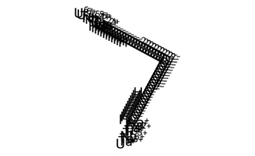 [Ca+2].[Ca+2].[Ca+2].[Na+].[Na+].[Na+].[Nb+5].[Nb+5].[Nb+5].[O-2].[O-2].[O-2].[O-2].[O-2].[O-2].[O-2].[O-2].[O-2].[O-2].[O-2].[O-2].[O-2].[O-2].[O-2].[O-2].[O-2].[O-2].[O-2].[O-2].[O-2].[O-2].[O-2].[OH-].[OH-].[OH-].[OH-].[OH-].[OH-].[OH-].[OH-].[OH-].[OH-].[OH-].[OH-].[OH-].[OH-].[OH-].[OH-].[OH-].[OH-].[OH-].[OH-].[OH-].[OH-].[OH-].[Ta+5].[Ta+5].[Ta+5].[Ti+4].[Ti+4].[Ti+4].[U+6].[U+6].[U+6]